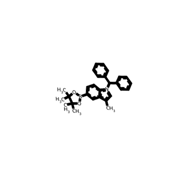 Cc1cn(C(c2ccccc2)c2ccccc2)c2ccc(B3OC(C)(C)C(C)(C)O3)cc12